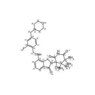 BC1(B)C(=O)NC(=O)C(O)(N2Cc3c(NCc4ccc(CN5CCOCC5)cc4F)cccc3C2=O)C1(B)B